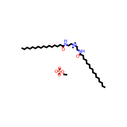 CCCCCCCCCCCCCCCC(=O)NCC[N+](C)(C)CCNC(=O)CCCCCCCCCCCCCCC.CCOS(=O)(=O)[O-]